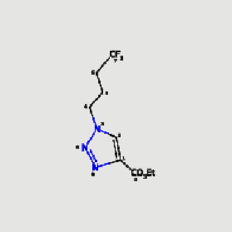 CCOC(=O)c1cn(CCCC(F)(F)F)nn1